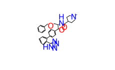 CN1CCC(C(=O)NC(COCc2ccccc2)C(=O)c2ccc(-c3ccccc3-c3nnn[nH]3)cc2)CC1